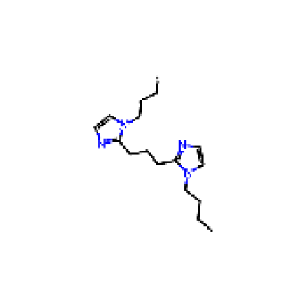 CCCCn1ccnc1CCCc1nccn1CCCC